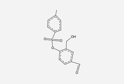 Cc1ccc(S(=O)(=O)Oc2ccc(C=O)cc2CO)cc1